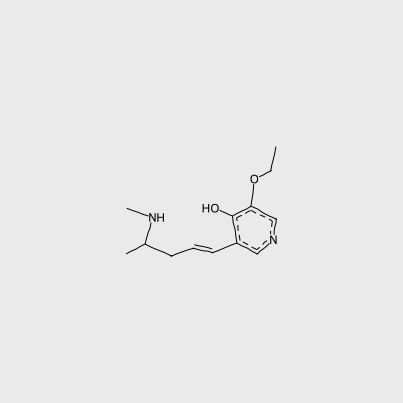 CCOc1cncc(C=CCC(C)NC)c1O